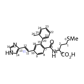 CSCCC(NC(=O)c1ccc(/C=C/c2c[nH]cn2)cc1-c1ccccc1C)C(=O)O